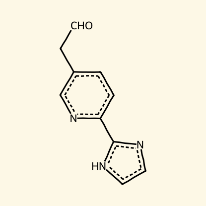 O=CCc1ccc(-c2ncc[nH]2)nc1